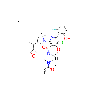 C=CC(=O)N1CCN2C(=O)c3c(N4CC(C(C)C5COC5)CC4(C)C)nc(-c4c(O)cccc4F)c(Cl)c3OC[C@H]2C1